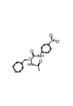 CC(=O)N[C@@H](Cc1ccccc1)C(=O)Nc1ccc([N+](=O)[O-])cc1